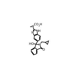 CN(C(=O)O)c1nc2cc(C3(O)c4ccccc4C(=O)N3CC3CC3)ccc2[nH]1